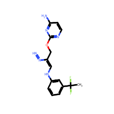 CC(F)(F)c1cccc(N/C=C(/COc2nccc(N)n2)N=N)c1